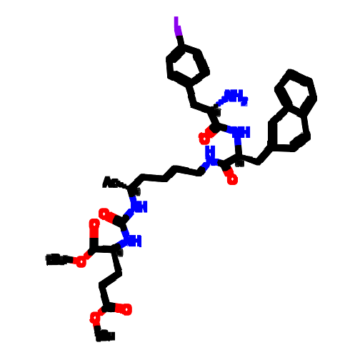 CC(=O)[C@H](CCCCNC(=O)[C@H](Cc1ccc2ccccc2c1)NC(=O)[C@@H](N)Cc1ccc(I)cc1)NC(=O)N[C@@H](CCC(=O)OC(C)(C)C)C(=O)OC(C)(C)C